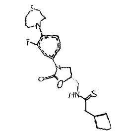 O=C1O[C@@H](CNC(=S)CC2CCC2)CN1c1ccc(N2CCSCC2)c(F)c1